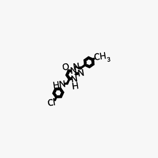 Cc1ccc(-c2nc3[nH]c(CNc4ccc(Cl)cc4)cc(=O)n3n2)cc1